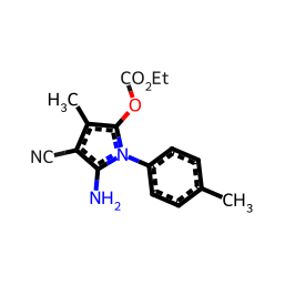 CCOC(=O)Oc1c(C)c(C#N)c(N)n1-c1ccc(C)cc1